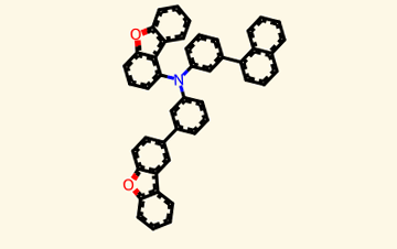 c1cc(-c2ccc3oc4ccccc4c3c2)cc(N(c2cccc(-c3cccc4ccccc34)c2)c2cccc3oc4ccccc4c23)c1